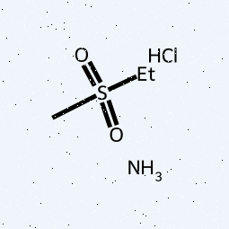 CCS(C)(=O)=O.Cl.N